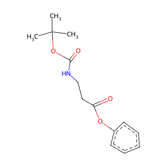 CC(C)(C)OC(=O)NCCC(=O)Oc1ccccc1